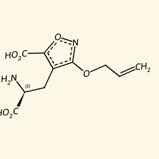 C=CCOc1noc(C(=O)O)c1C[C@H](N)C(=O)O